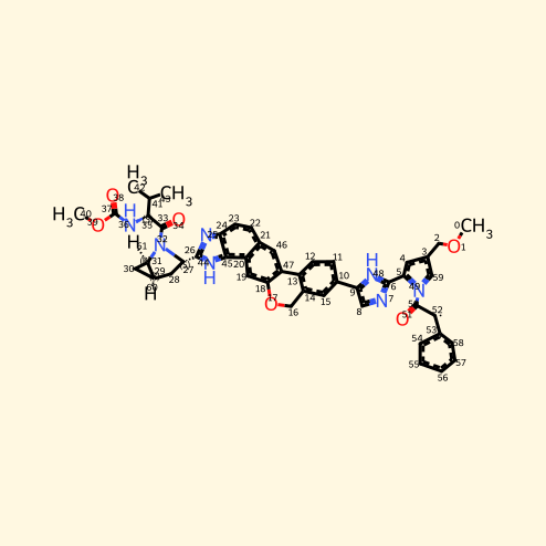 COCc1cc(-c2ncc(-c3ccc4c(c3)COc3cc5c(ccc6nc([C@@H]7C[C@H]8C[C@H]8N7C(=O)[C@@H](NC(=O)OC)C(C)C)[nH]c65)cc3-4)[nH]2)n(C(=O)[CH]c2ccccc2)c1